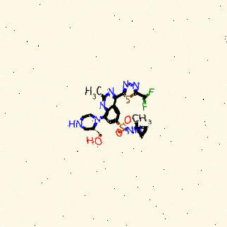 Cc1nc(-c2nnc(C(F)F)s2)c2cc(S(=O)(=O)NC3(C)CC3)cc(N3CCNC[C@H]3CO)c2n1